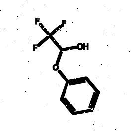 OC(Oc1ccccc1)C(F)(F)F